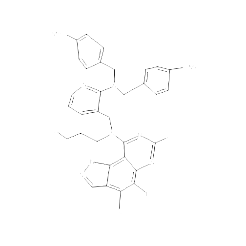 COc1ccc(CN(Cc2ccc(OC)cc2)c2ncccc2CN(CCCO)c2nc(Cl)nc3c(F)c(Br)c4cn[nH]c4c23)cc1